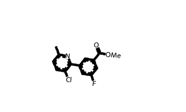 COC(=O)c1cc(F)cc(-c2nc(C)ccc2Cl)c1